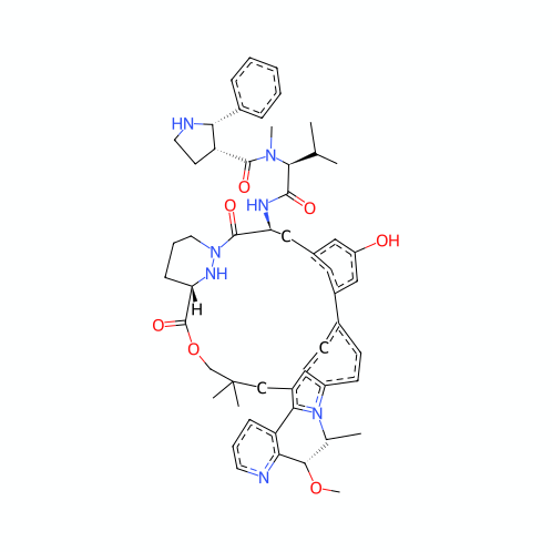 CCn1c(-c2cccnc2[C@H](C)OC)c2c3cc(ccc31)-c1cc(O)cc(c1)C[C@H](NC(=O)[C@H](C(C)C)N(C)C(=O)[C@@H]1CCN[C@@H]1c1ccccc1)C(=O)N1CCC[C@H](N1)C(=O)OCC(C)(C)C2